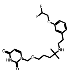 CC(C)(CCCOCn1ccc(=O)[nH]c1=O)NCCc1cccc(OCC(F)F)c1